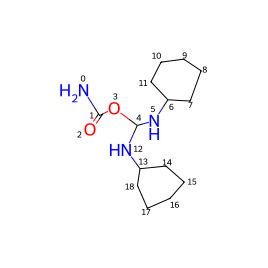 NC(=O)OC(NC1CCCCC1)NC1CCCCC1